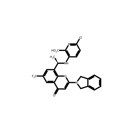 C[C@@H](Nc1ccc(Cl)nc1C(=O)O)c1cc(C(F)(F)F)cc2c(=O)cc(N3Cc4ccccc4C3)oc12